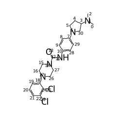 CN(C)C1CCN(c2ccc(NC(=O)N3CCN(c4cccc(Cl)c4Cl)CC3)cc2)C1